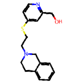 OCc1cc(SCCN2CCc3ccccc3C2)ccn1